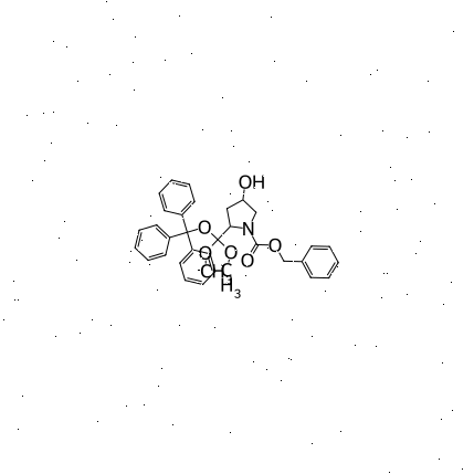 COC(OC)(OC(c1ccccc1)(c1ccccc1)c1ccccc1)C1CC(O)CN1C(=O)OCc1ccccc1